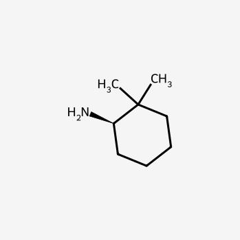 CC1(C)CCCC[C@H]1N